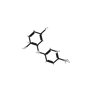 O=[N+]([O-])c1ccc(Oc2cc(F)ccc2F)cn1